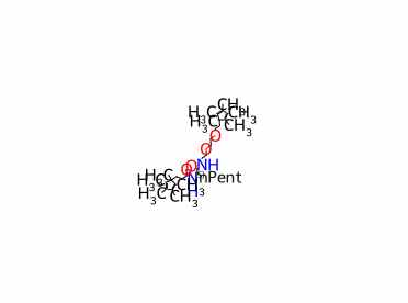 CCCCC[C@H](NC(=O)CCC1(C)C(C)=C(C)C(C)=C1C)C(=O)NCCOCCOCCC1(C)C(C)=C(C)C(C)=C1C